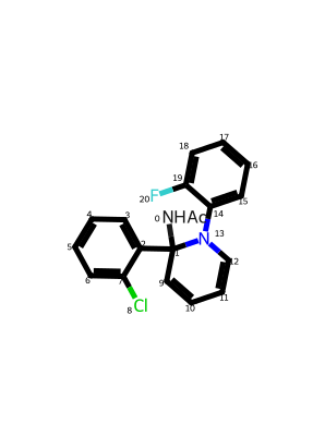 CC(=O)NC1(c2ccccc2Cl)C=[C]C=CN1c1ccccc1F